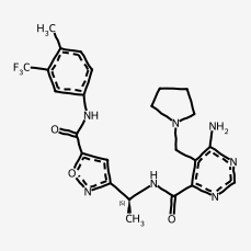 Cc1ccc(NC(=O)c2cc([C@H](C)NC(=O)c3ncnc(N)c3CN3CCCC3)no2)cc1C(F)(F)F